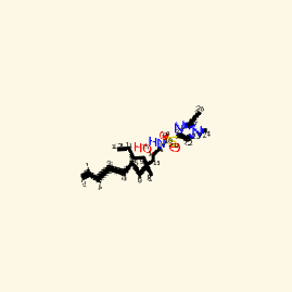 CCCCCCCC(C)(CCCC)CC(O)CNS(=O)(=O)c1cn(C)c(C)n1